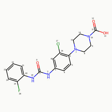 O=C(Nc1ccc(N2CCN(C(=O)O)CC2)c(Cl)c1)Nc1ccccc1F